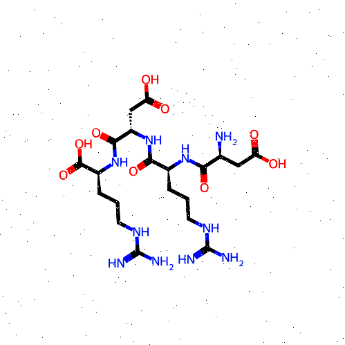 N=C(N)NCCC[C@H](NC(=O)[C@H](CC(=O)O)NC(=O)[C@H](CCCNC(=N)N)NC(=O)[C@@H](N)CC(=O)O)C(=O)O